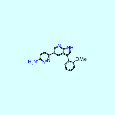 COc1ccccc1-c1c[nH]c2ncc(-c3ccc(N)nn3)cc12